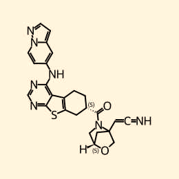 N=C=CC12CO[C@H](CN1C(=O)[C@H]1CCc3c(sc4ncnc(Nc5ccn6nccc6c5)c34)C1)C2